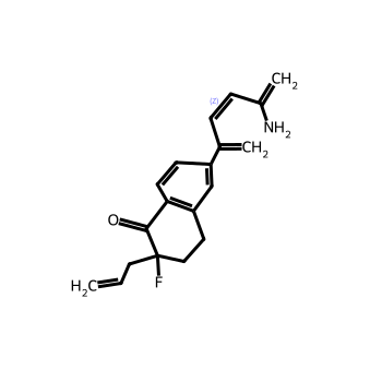 C=CCC1(F)CCc2cc(C(=C)/C=C\C(=C)N)ccc2C1=O